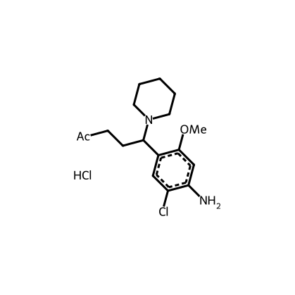 COc1cc(N)c(Cl)cc1C(CCC(C)=O)N1CCCCC1.Cl